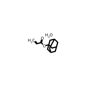 C=CC(=O)OC12CC3CC(CC(C3)C1)C2.O